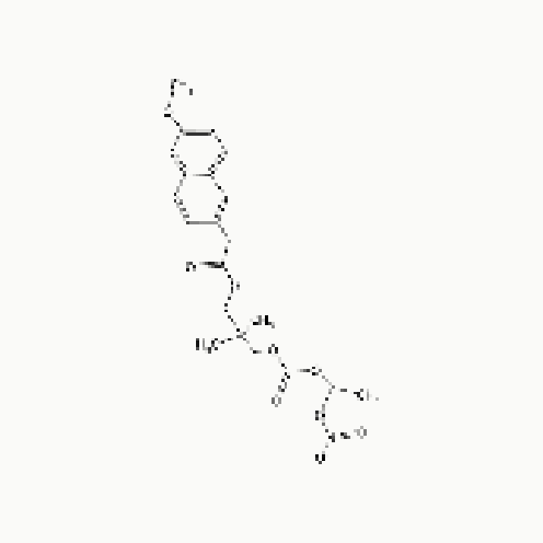 COc1ccc2cc(CC(=O)OCC(C)(C)COC(=O)OC(C)O[N+](=O)[O-])ccc2c1